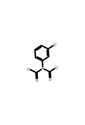 O=C(Cl)N(C(=O)Cl)c1cccc(Cl)c1